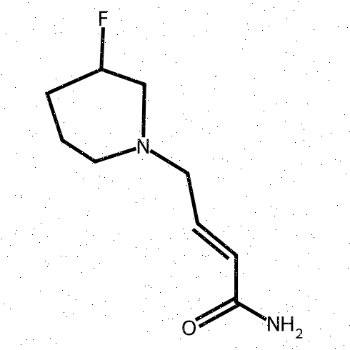 NC(=O)C=CCN1CCCC(F)C1